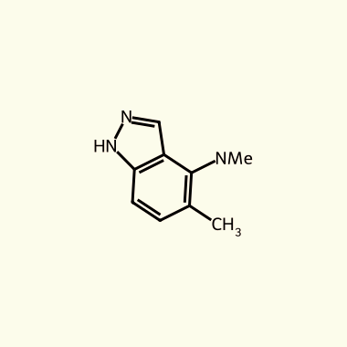 CNc1c(C)ccc2[nH]ncc12